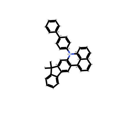 CC1(C)c2ccccc2-c2cc3c(cc21)N(c1ccc(-c2ccccc2)cc1)c1cccc2cccc-3c12